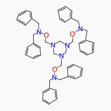 c1ccc(CN(Cc2ccccc2)OCN2CN(CON(Cc3ccccc3)Cc3ccccc3)CN(CON(Cc3ccccc3)Cc3ccccc3)C2)cc1